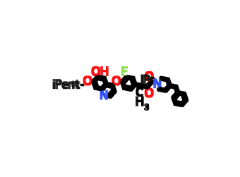 CCC[C@@H](C)COc1cc2nccc(Oc3ccc([C@](C)(C(=O)C(=O)N4CCC(Cc5ccccc5)CC4)C(C)C)cc3F)c2cc1O